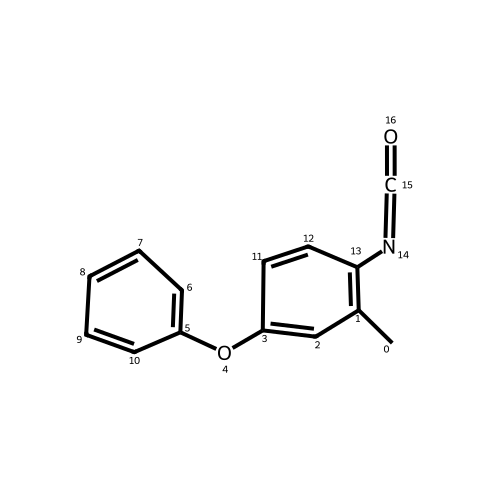 Cc1cc(Oc2ccccc2)ccc1N=C=O